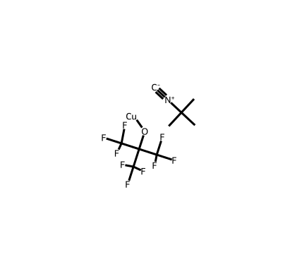 FC(F)(F)C([O][Cu])(C(F)(F)F)C(F)(F)F.[C-]#[N+]C(C)(C)C